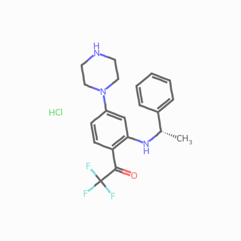 C[C@H](Nc1cc(N2CCNCC2)ccc1C(=O)C(F)(F)F)c1ccccc1.Cl